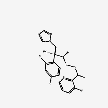 CC(SS[C@H](C)[C@](O)(Cn1cncn1)c1ccc(F)cc1F)c1ncccc1F